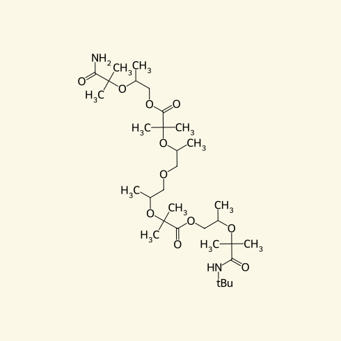 CC(COC(=O)C(C)(C)OC(C)COCC(C)OC(C)(C)C(=O)OCC(C)OC(C)(C)C(=O)NC(C)(C)C)OC(C)(C)C(N)=O